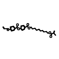 C=CCOc1ccc(C(=O)Oc2ccc(C(=O)OCCCCCCCCCCOC(=O)C(=C)C)cc2)cc1